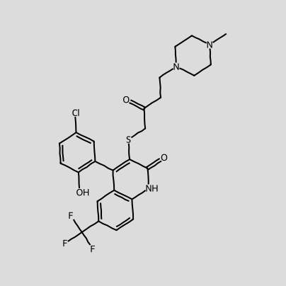 CN1CCN(CCC(=O)CSc2c(-c3cc(Cl)ccc3O)c3cc(C(F)(F)F)ccc3[nH]c2=O)CC1